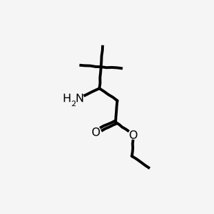 CCOC(=O)CC(N)C(C)(C)C